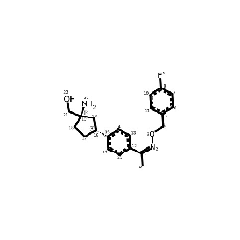 CC(=NOCc1ccc(F)cc1)c1ccc([C@@H]2CC[C@](N)(CO)C2)cc1